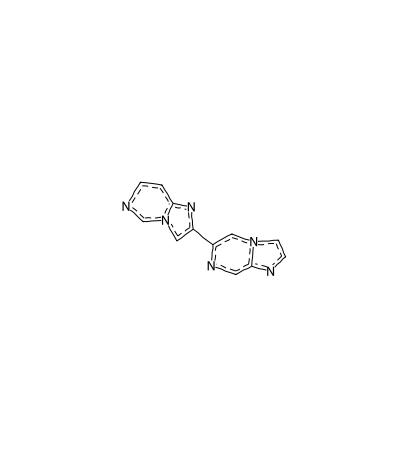 c1cc2nc(-c3cn4ccnc4cn3)cn2cn1